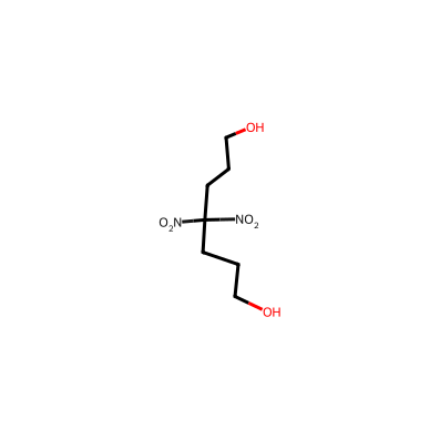 O=[N+]([O-])C(CCCO)(CCCO)[N+](=O)[O-]